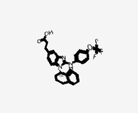 O=C(O)CCc1ccc2c(c1)nc(Nc1ccc(OC(F)(F)F)cc1)n2[C@H]1CCCc2ccccc21